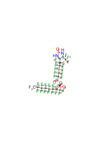 O=C1N[C@@]2(F)[C@@](F)(N1)C(F)(F)S[C@@]2(F)C(F)(F)C(F)(F)C(F)(F)C(F)(F)C(=O)OS(=O)(=O)C(F)(F)C(F)(F)C(F)(F)C(F)(F)C(F)(F)C(F)(F)C(F)(F)C(F)(F)F